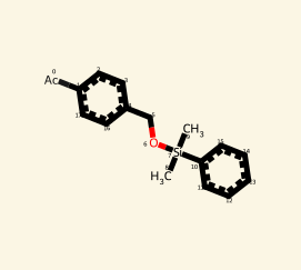 CC(=O)c1ccc(CO[Si](C)(C)c2ccccc2)cc1